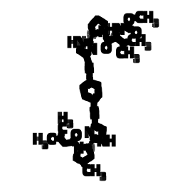 COC(=O)N[C@H](C(=O)N1CCC[C@H]1c1nc(C#Cc2ccc(C#Cc3c[nH]c([C@@H]4CC(C)CN4C(=O)CC(C)C)n3)cc2)c[nH]1)C(C)C